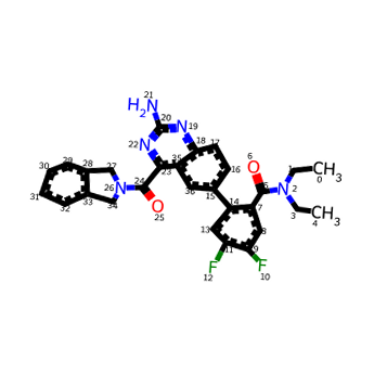 CCN(CC)C(=O)c1cc(F)c(F)cc1-c1ccc2nc(N)nc(C(=O)N3Cc4ccccc4C3)c2c1